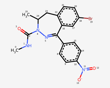 CNC(=O)N1N=C(c2ccc([N+](=O)[O-])cc2)c2cc(Br)ccc2CC1C